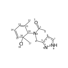 CC(=O)N(Cc1cc[nH]n1)C1C(C)=CC=CC1(C)Cl